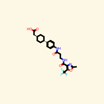 Cc1nc(C(=O)NCCC(=O)Nc2ccc([C@H]3CC[C@H](CC(=O)O)CC3)cc2)c(C(F)(F)F)o1